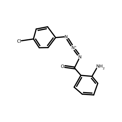 Nc1ccccc1C(=O)N=[N+]=Nc1ccc(Cl)cc1